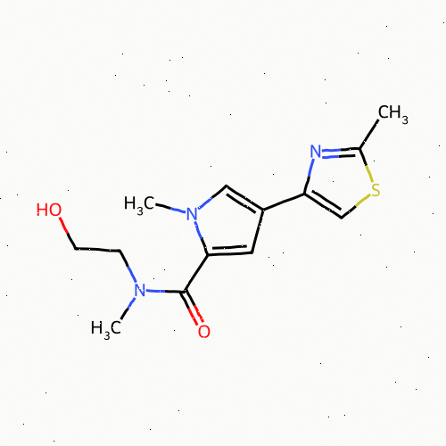 Cc1nc(-c2cc(C(=O)N(C)CCO)n(C)c2)cs1